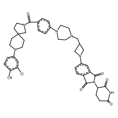 N#Cc1ccc(N2CCC3(CCN(C(=O)c4ccc(N5CCN(CC6CN(c7ccc8c(c7)C(=O)N(C7CCC(=O)NC7=O)C8=O)C6)CC5)cc4)C3)CC2)cc1Cl